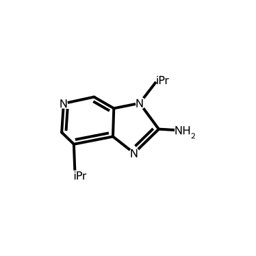 CC(C)c1cncc2c1nc(N)n2C(C)C